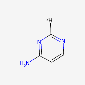 [2H]c1nccc(N)n1